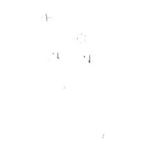 [2H]c1nc(-c2cccc(Cl)c2)no1